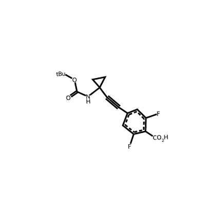 CC(C)(C)OC(=O)NC1(C#Cc2cc(F)c(C(=O)O)c(F)c2)CC1